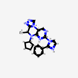 CCC1c2nncn2-c2cnc(-n3ccnc3-c3ccccc3)nc2N1C1CCCC1